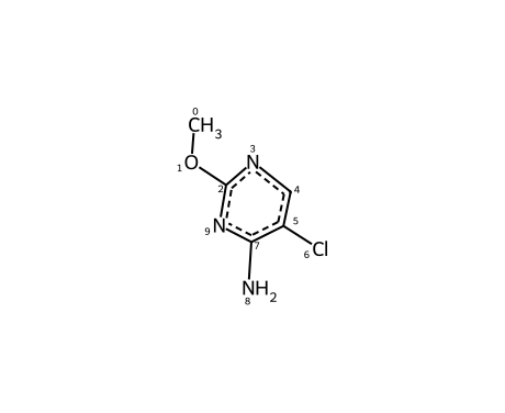 COc1ncc(Cl)c(N)n1